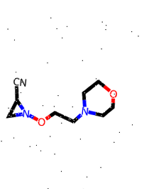 N#CC1CN1OCCN1CCOCC1